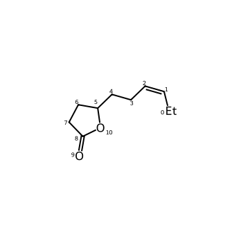 CC/C=C\CCC1CCC(=O)O1